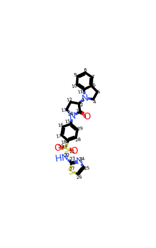 O=C1C(N2CCc3ccccc32)CCN1c1ccc(S(=O)(=O)Nc2nccs2)cc1